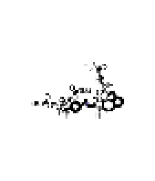 C/C(=C\C(=O)N[C@H]1CCc2cccc3c2N(C1=O)[C@H](C(=O)NCCNC(N)=O)C3)c1ccc(C(F)(F)P(=O)(OCOC(=O)C(C)(C)C)OCOC(=O)C(C)(C)C)cc1